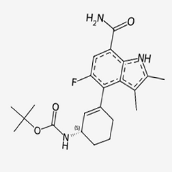 Cc1[nH]c2c(C(N)=O)cc(F)c(C3=C[C@@H](NC(=O)OC(C)(C)C)CCC3)c2c1C